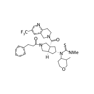 CNC(=S)N(C1CCOCC1C)[C@@H]1C[C@H]2CN(C(=O)CCc3ccccc3)C[C@@]2(C(=O)N2CCc3ncc(C(F)(F)F)cc3C2)C1